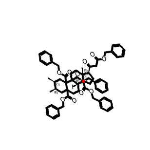 C[C@@H]1CC2(C(=O)OCc3ccccc3)CC[C@]3(I)C(C(=O)OCc4ccccc4)(CC[C@]4(C)[C@@H](C(=O)CC(=O)OCc5ccccc5)CCC34C(=O)OCc3ccccc3)C2(C(=O)OCc2ccccc2)C[C@@H]1C